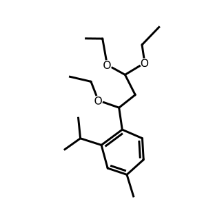 CCOC(CC(OCC)c1ccc(C)cc1C(C)C)OCC